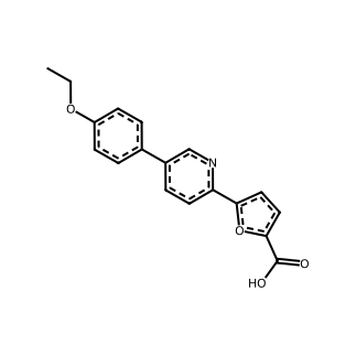 CCOc1ccc(-c2ccc(-c3ccc(C(=O)O)o3)nc2)cc1